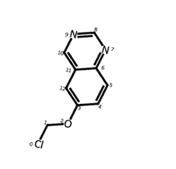 ClCOc1ccc2ncncc2c1